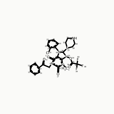 Cn1c2c(c(=O)n(CC(=O)c3ccccc3)c1=O)N(c1ccccc1Cl)C(N1CCNCC1)N2OC(=O)C(F)(F)F